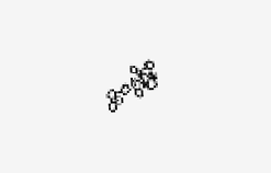 c1ccc2c(-c3ccc(-c4cccc5c4oc4ccccc45)cc3)nc(-n3c4ccccc4c4c5ccccc5c5nc6ccccc6n5c43)nc2c1